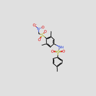 Cc1ccc(S(=O)(=O)Nc2cc(C)c(S(=O)(=O)C[N+](=O)[O-])c(C)c2)cc1